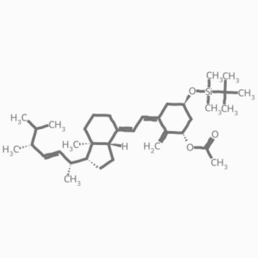 C=C1/C(=C\C=C2/CCC[C@]3(C)[C@@H]([C@H](C)/C=C/[C@H](C)C(C)C)CC[C@@H]23)C[C@@H](O[Si](C)(C)C(C)(C)C)C[C@@H]1OC(C)=O